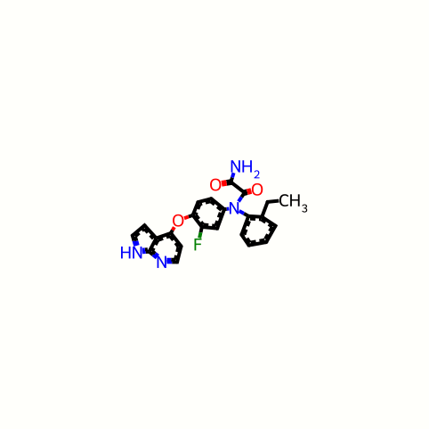 CCc1ccccc1N(C(=O)C(N)=O)c1ccc(Oc2ccnc3[nH]ccc23)c(F)c1